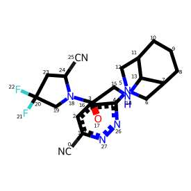 N#Cc1ccc(N2CC3CCCC(C2)C3NCC(=O)N2CC(F)(F)CC2C#N)nn1